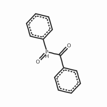 O=C(c1ccccc1)[PH](=O)c1ccccc1